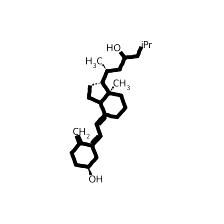 C=C1CC[C@H](O)C/C1=C/C=C1CCC[C@@]2(C)C1CC[C@@H]2[C@H](C)CC(O)CC(C)C